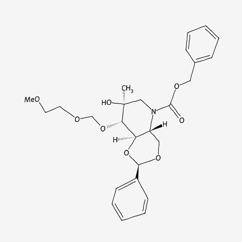 COCCOCO[C@H]1[C@@H]2O[C@H](c3ccccc3)OC[C@H]2N(C(=O)OCc2ccccc2)C[C@]1(C)O